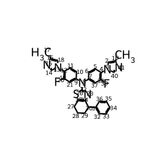 Cc1cn(-c2ccc(N(c3ccc(-n4cnc(C)c4)c(F)c3)c3nc4c(s3)CCCC4c3ccccc3)cc2F)cn1